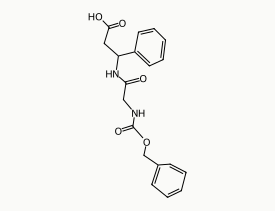 O=C(O)CC(NC(=O)CNC(=O)OCc1ccccc1)c1ccccc1